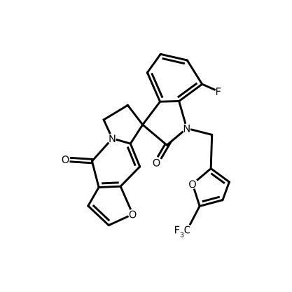 O=C1N(Cc2ccc(C(F)(F)F)o2)c2c(F)cccc2C12CCn1c2cc2occc2c1=O